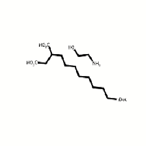 CCCCCCCCCCCCCCCCCCC(CC(=O)O)C(=O)O.NCCO